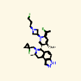 C=C(/C(=C\C(NC1CN(CCCF)C1)=C(/C)F)OC)[C@@H]1c2ccc3[nH]ncc3c2C[C@@H](C)N1CC1(F)CC1